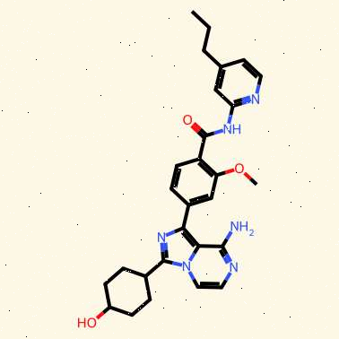 CCCc1ccnc(NC(=O)c2ccc(-c3nc(C4CCC(O)CC4)n4ccnc(N)c34)cc2OC)c1